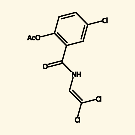 CC(=O)Oc1ccc(Cl)cc1C(=O)NC=C(Cl)Cl